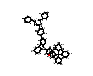 c1ccc(-c2nc(-c3ccccc3)nc(-c3ccc(-c4ccc5c(c4)c4ccccc4n5-c4cccc(-c5cccc6c5C(c5ccccc5)(c5ccccc5)c5ccccc5-6)c4)cc3)n2)cc1